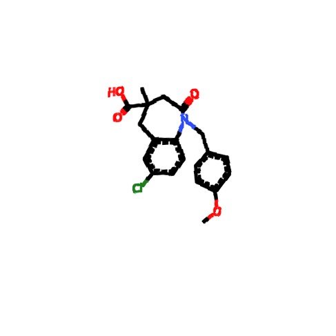 COc1ccc(CN2C(=O)CC(C)(C(=O)O)Cc3cc(Cl)ccc32)cc1